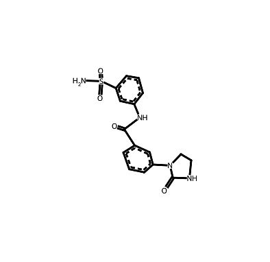 NS(=O)(=O)c1cccc(NC(=O)c2cccc(N3CCNC3=O)c2)c1